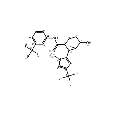 Cn1nc(C(F)(F)F)cc1C1C2OC(CC2O)C1C(=O)Nc1cccc(C(F)(F)F)c1